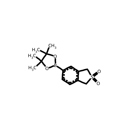 CC1(C)OB(c2ccc3c(c2)CS(=O)(=O)C3)OC1(C)C